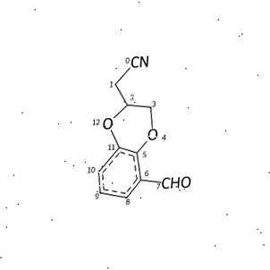 N#CCC1COc2c(C=O)cccc2O1